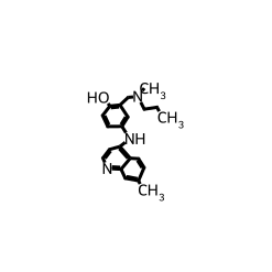 CCCN(C)Cc1cc(Nc2ccnc3cc(C)ccc23)ccc1O